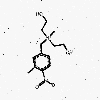 Cc1cc(C[N+](C)(CCO)CCO)ccc1[N+](=O)[O-]